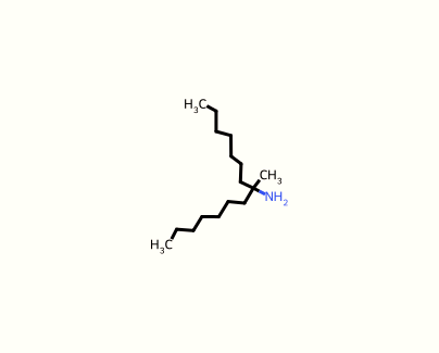 CCCCCCCC(C)(N)CCCCCCC